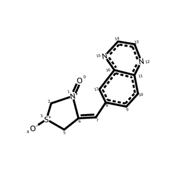 O=[N+]1C[S+]([O-])CC1=Cc1ccc2nccnc2c1